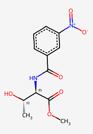 COC(=O)[C@H](NC(=O)c1cccc([N+](=O)[O-])c1)[C@H](C)O